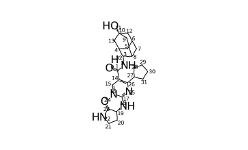 O=C(N[C@H]1C2CC3CC1C[C@@](O)(C3)C2)c1cnc(N[C@H]2CCNC2=O)nc1C1CCCC1